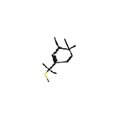 CSC(C)(C)C1=CC(C)C(C)(C)C=C1